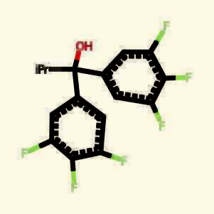 CC(C)C(O)(c1cc(F)c(F)c(F)c1)c1cc(F)c(F)c(F)c1